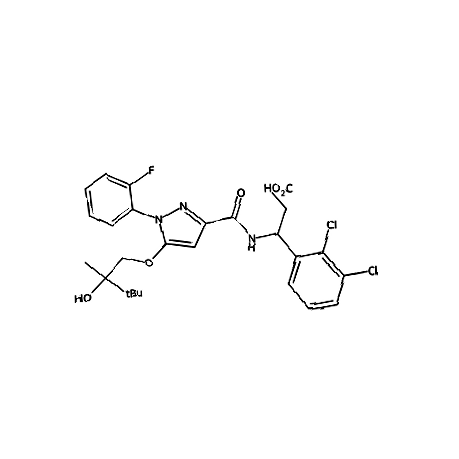 CC(C)(C)C(C)(O)COc1cc(C(=O)NC(CC(=O)O)c2cccc(Cl)c2Cl)nn1-c1ccccc1F